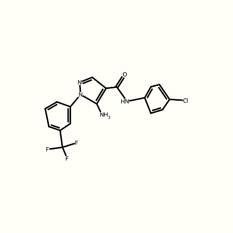 Nc1c(C(=O)Nc2ccc(Cl)cc2)cnn1-c1cccc(C(F)(F)F)c1